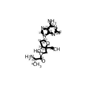 C#CC1(COC(=O)[C@H](C)N)O[C@@H](n2cnc3c(N)nc(F)nc32)C[C@@H]1O